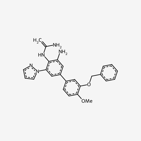 C=C(N)Nc1c(N)cc(-c2ccc(OC)c(OCc3ccccc3)c2)cc1-n1cccn1